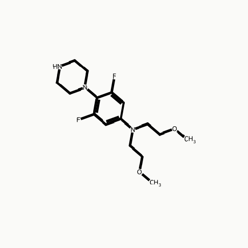 COCCN(CCOC)c1cc(F)c(N2CCNCC2)c(F)c1